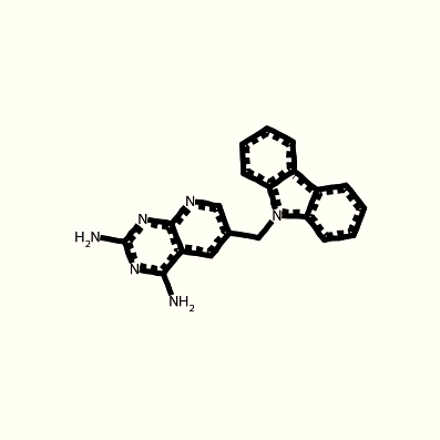 Nc1nc(N)c2cc(Cn3c4ccccc4c4ccccc43)cnc2n1